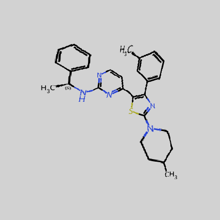 Cc1cccc(-c2nc(N3CCC(C)CC3)sc2-c2ccnc(N[C@@H](C)c3ccccc3)n2)c1